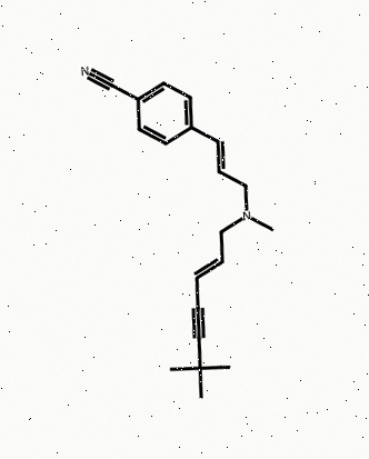 CN(CC=CC#CC(C)(C)C)CC=Cc1ccc(C#N)cc1